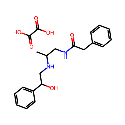 CC(CNC(=O)Cc1ccccc1)NCC(O)c1ccccc1.O=C(O)C(=O)O